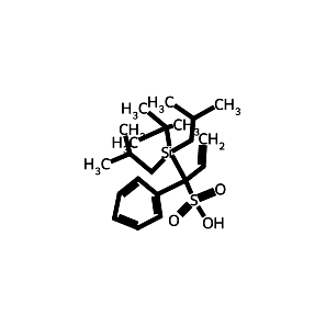 C=CC(c1ccccc1)([Si](CC(C)C)(CC(C)C)C(C)(C)C)S(=O)(=O)O